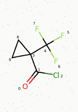 O=C(Cl)C1(C(F)(F)F)CC1